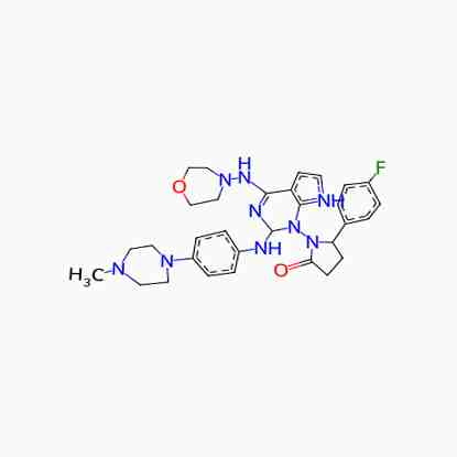 CN1CCN(c2ccc(NC3N=C(NN4CCOCC4)c4cc[nH]c4N3N3C(=O)CCC3c3ccc(F)cc3)cc2)CC1